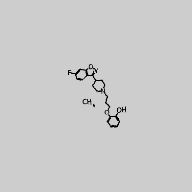 C.Oc1ccccc1OCCCN1CCC(c2noc3cc(F)ccc23)CC1